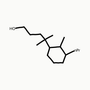 CCCC1CCCC(C(C)(C)CCCO)C1C